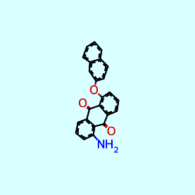 Nc1cccc2c1C(=O)c1cccc(Oc3ccc4ccccc4c3)c1C2=O